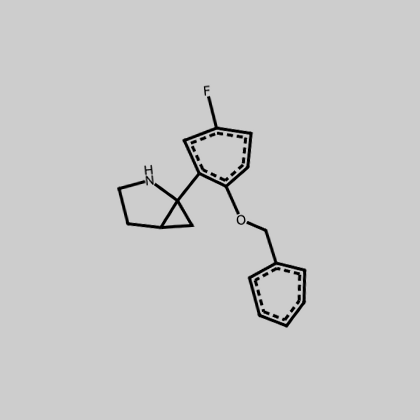 Fc1ccc(OCc2ccccc2)c(C23CC2CCN3)c1